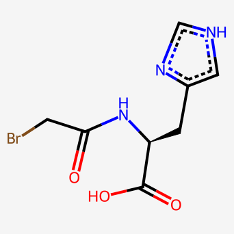 O=C(CBr)N[C@@H](Cc1c[nH]cn1)C(=O)O